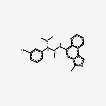 Cc1nnc2c3ccccc3c(N[C@@H](C)[C@H](c3cccc(C(C)C)c3)N(C)C)nn12